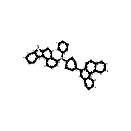 c1ccc(N(c2ccc(-c3cc4ccccc4c4c3ccc3ccccc34)cc2)c2cccc3c2ccc2sc4ccccc4c23)cc1